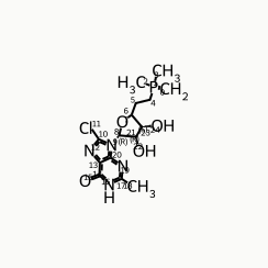 C=P(C)(C)CCC1O[C@@H](n2c(Cl)nc3c(=O)[nH]c(C)nc32)[C@H](O)[C@@H]1O